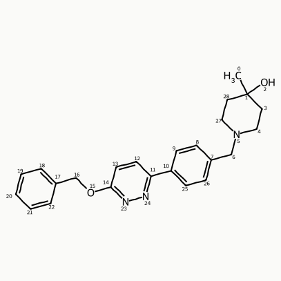 CC1(O)CCN(Cc2ccc(-c3ccc(OCc4ccccc4)nn3)cc2)CC1